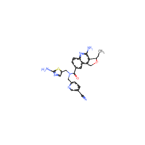 CC1OCc2c1c(N)nc1ccc(C(=O)N(Cc3ccc(C#N)cn3)Cc3cnc(N)s3)cc21